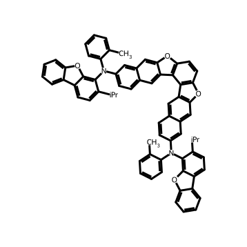 Cc1ccccc1N(c1ccc2cc3c(cc2c1)oc1ccc2oc4cc5cc(N(c6ccccc6C)c6c(C(C)C)ccc7c6oc6ccccc67)ccc5cc4c2c13)c1c(C(C)C)ccc2c1oc1ccccc12